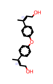 C/C(=C/CO)c1ccc(Oc2ccc(/C(C)=C\CO)cc2)cc1